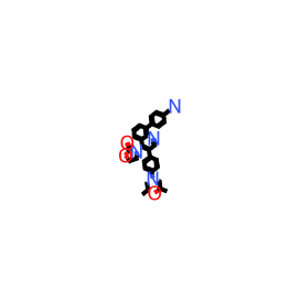 CC1CN(c2ccc(-c3cnc4c(-c5ccc(C#N)cc5)cccc4c3N3CCOC3=O)cc2)CC(C)O1